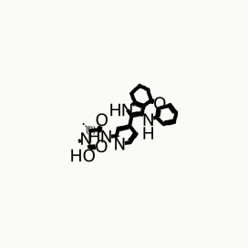 C[C@H](C(=O)Nc1cc(-c2[nH]c3c(c2Nc2ccccc2)C(=O)CCC3)ccn1)N(C)C(=O)O